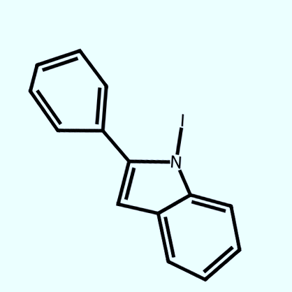 In1c(-c2ccccc2)cc2ccccc21